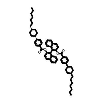 CCCCCCCC1CCC(c2ccc(C(=O)Oc3ccc4ccccc4c3-c3c(OC(=O)c4ccc([C@H]5CC[C@H](CCCCCCC)CC5)cc4)ccc4ccccc34)cc2)CC1